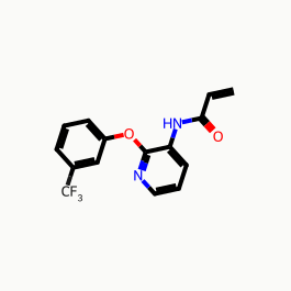 C=CC(=O)Nc1cccnc1Oc1cccc(C(F)(F)F)c1